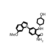 COc1ccc2ccn(-c3ccc(C(N)=O)c(N[C@H]4CC[C@H](O)CC4)c3)c2c1